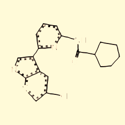 O=C(Nc1cccc(-c2c[nH]c3ncc(Cl)cc23)n1)C1CCCCC1